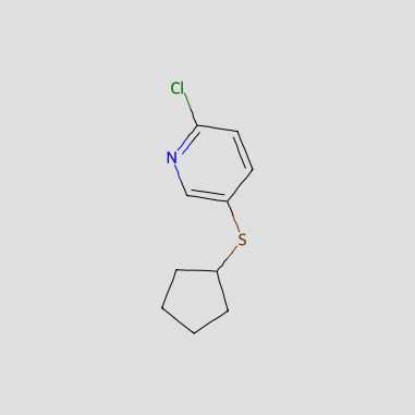 Clc1ccc(SC2CCCC2)cn1